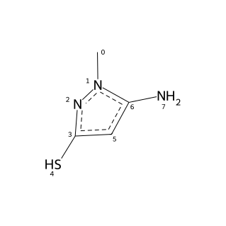 Cn1nc(S)cc1N